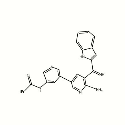 CC(C)C(=O)Nc1cncc(-c2cnc(N)c(C(=N)c3cc4ccccc4[nH]3)c2)c1